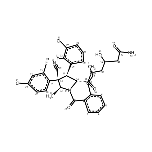 CCOc1ccccc1C(=O)N1[C@@H](C)[C@](C#N)(c2ccc(Cl)cc2F)[C@@H](c2cccc(Cl)c2F)[C@@H]1C(=O)OCC(O)CC(N)=O